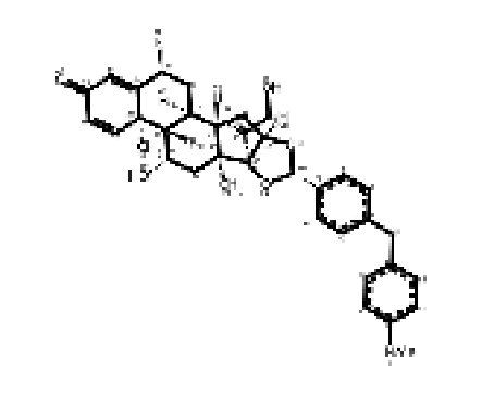 CNc1ccc(Cc2ccc([C@H]3O[C@@H]4C[C@H]5[C@@H]6C[C@H](F)C7=CC(=O)C=C[C@]7(C)[C@@]6(F)[C@@H](O)C[C@]5(C)[C@]4(C(=O)CO)O3)cc2)cc1